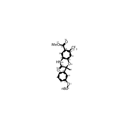 CCCCOc1cccc(C2(C)Oc3cc(C(F)(F)F)c(C(=O)OC)cc3NC2=O)c1